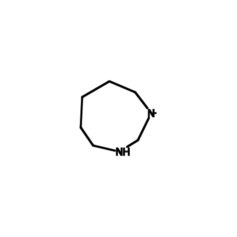 C1CC[N]CNCC1